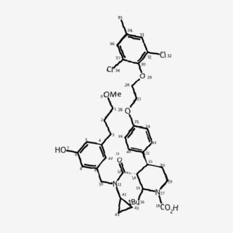 COCCCc1cc(O)cc(CN(C(=O)[C@H]2C(C(C)(C)C)N(C(=O)O)CC[C@@H]2c2ccc(OCCOc3c(Cl)cc(C)cc3Cl)cc2)C2CC2)c1